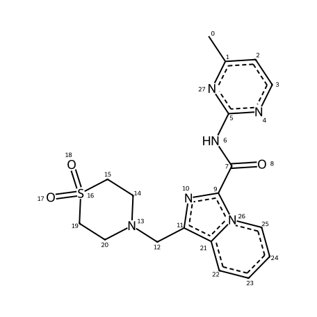 Cc1ccnc(NC(=O)c2nc(CN3CCS(=O)(=O)CC3)c3ccccn23)n1